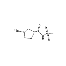 CC(C)(C)N1CCC(C(=O)NS(C)(=O)=O)C1